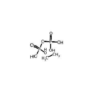 CC.O=P(O)(O)OP(=O)(O)O